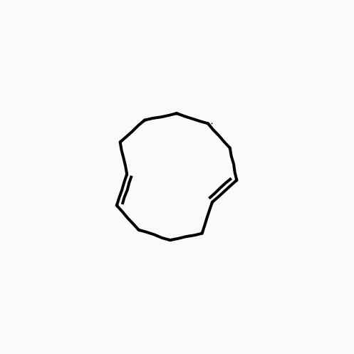 [CH]1C/C=C/CCC/C=C/CCC1